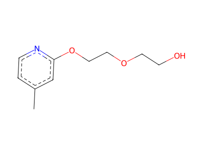 Cc1ccnc(OCCOCCO)c1